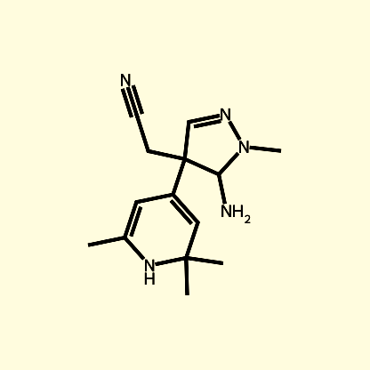 CC1=CC(C2(CC#N)C=NN(C)C2N)=CC(C)(C)N1